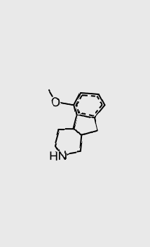 COc1cccc2c1C1CCNCC1C2